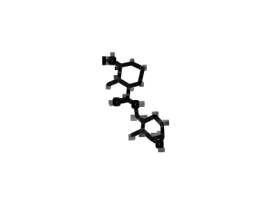 CC1C(O)CCCC1C(=O)OCC1CCC2OC2C1C